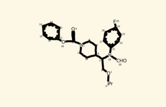 CC(C)OCC(C1CCN(C(=O)Oc2ccccc2)CC1)N(C=O)c1ccc(F)cc1